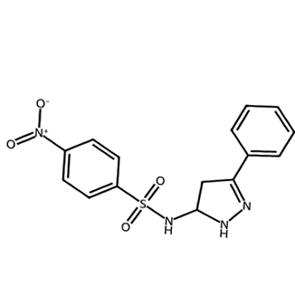 O=[N+]([O-])c1ccc(S(=O)(=O)NC2CC(c3ccccc3)=NN2)cc1